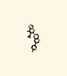 Cc1ccc(-c2cnc3c(c2)CN(c2nn4cnnc4c(C)c2C2CC2)CC3)cn1